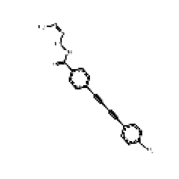 C/N=N\NNC(=O)c1ccc(C#CC#Cc2ccc(N)cc2)cc1